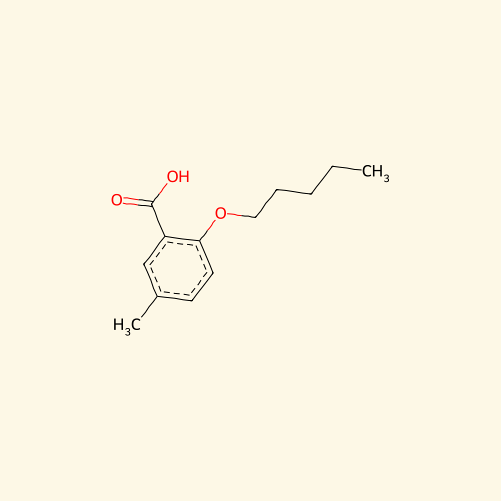 CCCCCOc1ccc(C)cc1C(=O)O